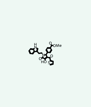 COC(=O)c1ccc(C2C(C(=O)c3cccs3)=C(O)C(=O)N2CCc2c[nH]c3ccccc23)cc1